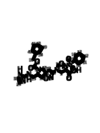 O=CN(CC(NS(=O)(=O)c1ccccc1)C(=O)O)C1=NO[C@]2(C1)CC(CNc1ncc[nH]1)N(C(=O)OCc1ccccc1)C2